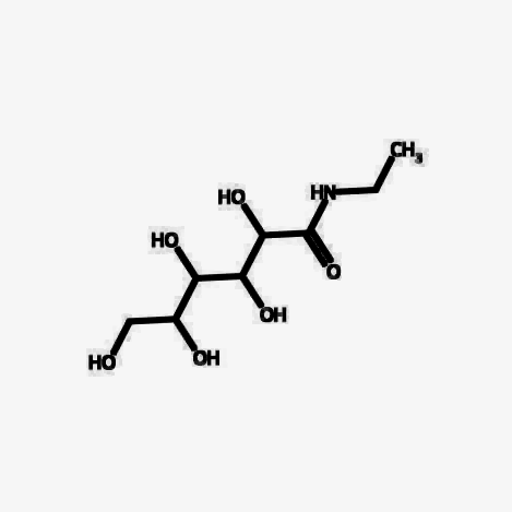 CCNC(=O)C(O)C(O)C(O)C(O)CO